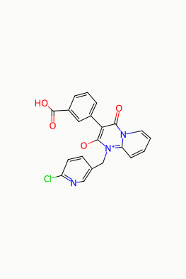 O=C(O)c1cccc(-c2c([O-])[n+](Cc3ccc(Cl)nc3)c3ccccn3c2=O)c1